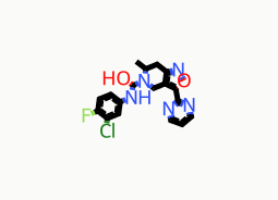 CC1Cc2noc(-c3ncccn3)c2CN1C(O)Nc1ccc(F)c(Cl)c1